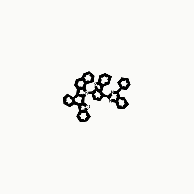 c1ccc(-c2nc(-c3ccc(-n4c5c6ccccc6ccc5c5c6ccccc6c6c7ccccc7oc6c54)c4sc5ccccc5c34)nc3ccccc23)cc1